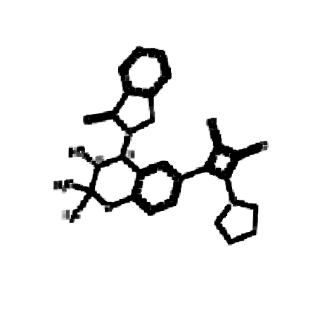 CC1(C)Oc2ccc(-c3c(N4CCCC4)c(=O)c3=O)cc2[C@H](N2Cc3ccccc3C2=O)[C@H]1O